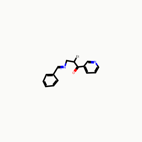 CCC(C/N=C/c1ccccc1)C(=O)c1cccnc1